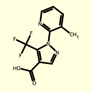 Cc1cccnc1-n1ncc(C(=O)O)c1C(F)(F)F